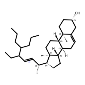 CCCC(CCC)C(/C=C/[C@@H](C)[C@H]1CC[C@H]2[C@@H]3CC=C4C[C@@H](O)CC[C@]4(C)[C@H]3CC[C@]12C)CC